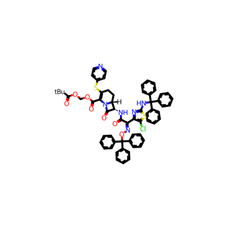 CC(C)(C)C(=O)OCOC(=O)C1=C(Sc2ccncc2)CC[C@@H]2[C@H](NC(=O)/C(=N\OC(c3ccccc3)(c3ccccc3)c3ccccc3)c3nc(NC(c4ccccc4)(c4ccccc4)c4ccccc4)sc3Cl)C(=O)N12